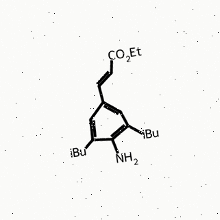 CCOC(=O)/C=C/c1cc(C(C)CC)c(N)c(C(C)CC)c1